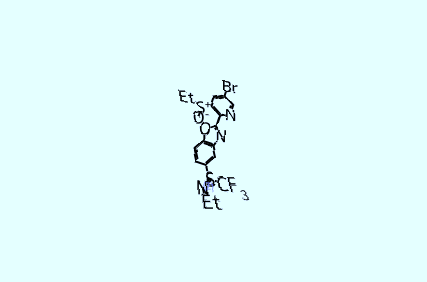 CC/N=S(/c1ccc2oc(-c3ncc(Br)cc3[S+]([O-])CC)nc2c1)C(F)(F)F